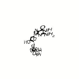 CC(C)OP(=O)(O)OC[C@H]1O[C@@H](n2cnc3c(=O)[nH]c(N)nc32)CC1O